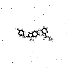 CCCNC(=O)c1cc(Oc2cc3nc(Nc4ccc(Cl)cc4)n(C)c3cc2OC)ccn1